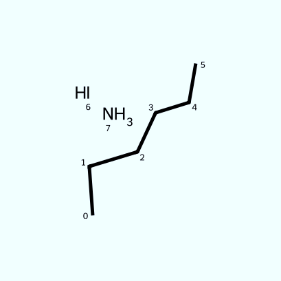 CCCCCC.I.N